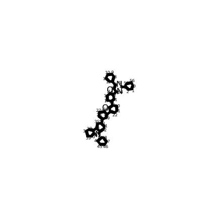 c1ccc(-c2nc(-c3ccccc3)c3oc4ccc(-c5cccc6c5oc5ccc(-c7ccc8c(c7)c7ccccc7n8-c7ccccc7)cc56)cc4c3n2)cc1